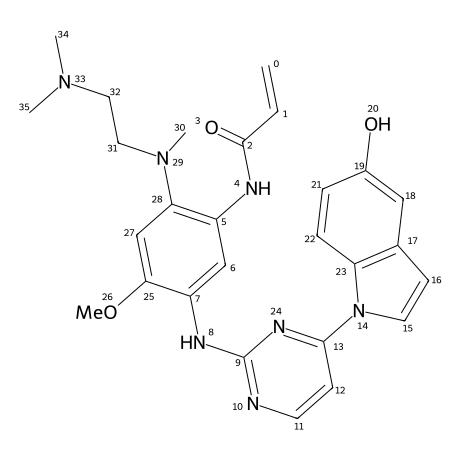 C=CC(=O)Nc1cc(Nc2nccc(-n3ccc4cc(O)ccc43)n2)c(OC)cc1N(C)CCN(C)C